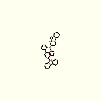 c1ccc(N(c2ccc3c(n2)oc2ccccc23)c2ccccc2-c2ccc(-n3c4ccccc4c4ccccc43)cc2)cc1